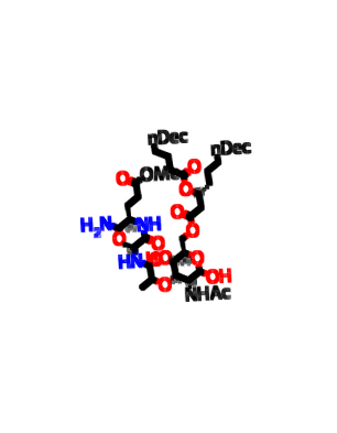 CCCCCCCCCCCCCC(=O)O[C@H](CCCCCCCCCCCCC)CC(=O)OC[C@H]1OC(O)[C@H](NC(C)=O)[C@H](OC(C)C(=O)N[C@@H](C)C(=O)N[C@H](CCC(=O)OC)C(N)=O)[C@@H]1O